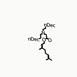 CCCCCCCCCCCCN(CCCCCCCCCCCC)CC(=O)OCC=C(C)CCC=C(C)C